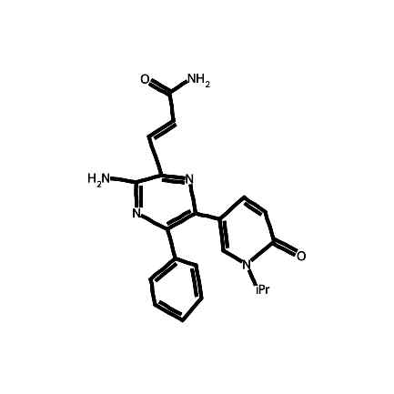 CC(C)n1cc(-c2nc(C=CC(N)=O)c(N)nc2-c2ccccc2)ccc1=O